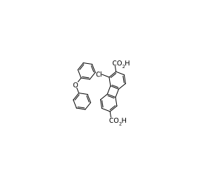 O=C(O)c1ccc2c(c1)-c1ccc(C(=O)O)c(Cl)c1-2.c1ccc(Oc2ccccc2)cc1